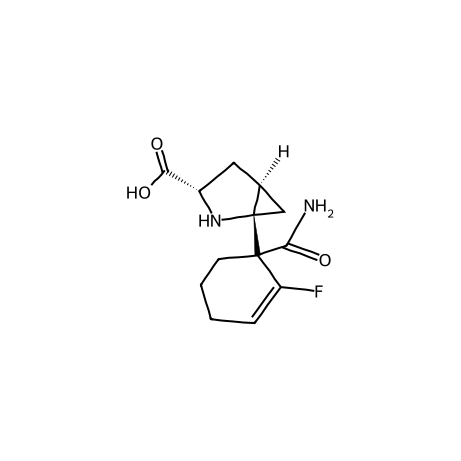 NC(=O)C1([C@]23C[C@@H]2C[C@@H](C(=O)O)N3)CCCC=C1F